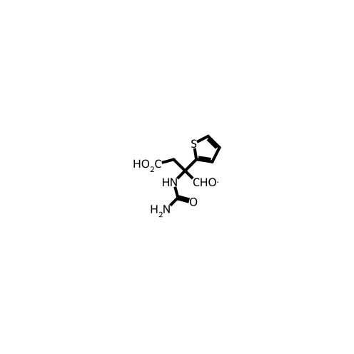 NC(=O)NC([C]=O)(CC(=O)O)c1cccs1